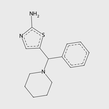 Nc1ncc(C(c2ccccc2)N2CCCCC2)s1